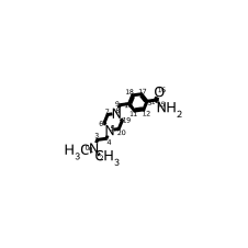 CN(C)CCN1CCN(Cc2ccc(C(N)=O)cc2)CC1